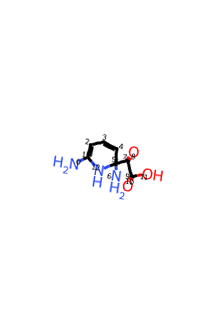 NC1=CC=CC(N)(C(=O)C(=O)O)N1